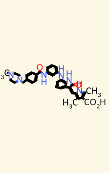 Cc1[nH]c(/C=C2\C(=O)Nc3c(Nc4cccc(NC(=O)c5ccc(CN6CCN(C)CC6)cc5)c4)cccc32)c(C)c1C(=O)O